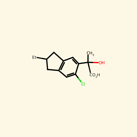 CCC1Cc2cc(Cl)c(C(C)(O)C(=O)O)cc2C1